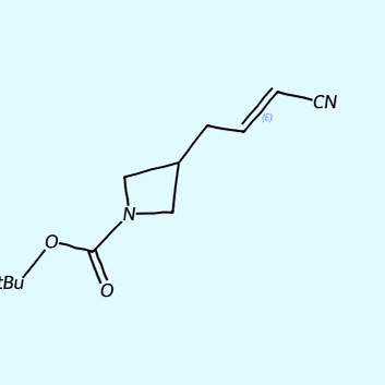 CC(C)(C)OC(=O)N1CC(C/C=C/C#N)C1